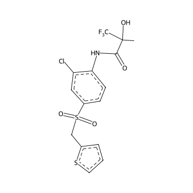 CC(O)(C(=O)Nc1ccc(S(=O)(=O)Cc2cccs2)cc1Cl)C(F)(F)F